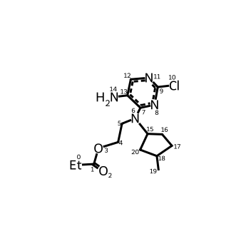 CCC(=O)OCCN(c1nc(Cl)ncc1N)C1CCC(C)C1